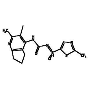 Cc1c(C(F)(F)F)nc2c(c1NC(=O)/N=[SH](=O)/c1cnc(C(F)(F)F)s1)CCC2